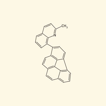 Cc1ccc2cccc(-c3ccc4c5c3ccc3ccc6cccc-4c6c35)c2n1